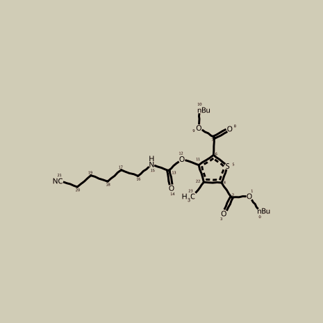 CCCCOC(=O)c1sc(C(=O)OCCCC)c(OC(=O)NCCCCCC#N)c1C